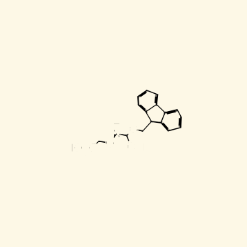 O=C(O)CONC(O)OCC1c2ccccc2-c2ccccc21